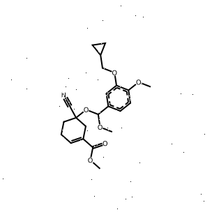 COC(=O)C1=CCCC(C#N)(OC(OC)c2ccc(OC)c(OCC3CC3)c2)C1